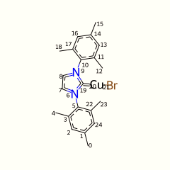 Cc1cc(C)c(-n2ccn(-c3c(C)cc(C)cc3C)[c]2=[Cu][Br])c(C)c1